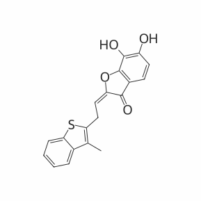 Cc1c(CC=C2Oc3c(ccc(O)c3O)C2=O)sc2ccccc12